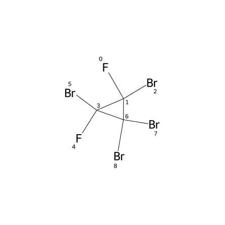 FC1(Br)C(F)(Br)C1(Br)Br